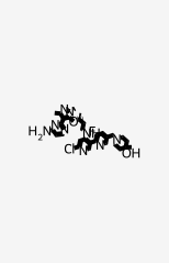 Cc1nn(C)c(O[C@@H](C)CCNc2cc(Cl)ncc2-c2ncc(CN3CCC(C)(O)CC3)cc2F)c1-c1nccc(N)n1